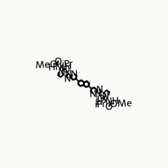 COC(=O)NC(C(=O)N1CCC[C@H]1c1nc2cc(-c3ccc4cc(-c5cnc6[nH]c([C@@H]7CCCN7C(=O)C(NC(=O)OC)C(C)C)nc6c5)ccc4c3)cnc2[nH]1)C(C)C